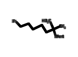 CCCCCC(C)(CCCCCC(C)C)C(=O)O